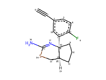 C#Cc1ccc(F)c([C@]23CCC[C@H]2CSC(N)=N3)c1